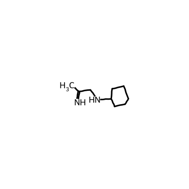 CC(=N)CNC1CCCCC1